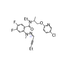 CCC#C/C=N\N(C)c1cc(F)c(F)cc1C(=O)N(CC)C(C)COc1ccc(Cl)cn1